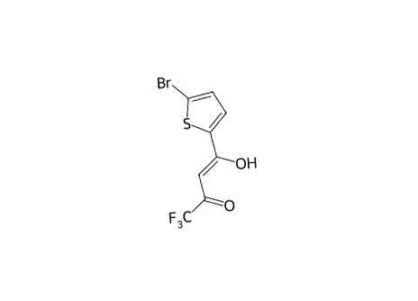 O=C(/C=C(\O)c1ccc(Br)s1)C(F)(F)F